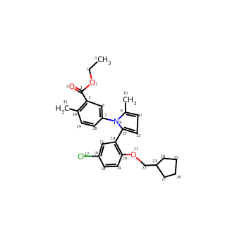 CCOC(=O)c1cc(-n2c(C)ccc2-c2cc(Cl)ccc2OCC2CCCC2)ccc1C